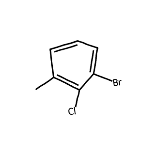 Cc1cccc(Br)c1Cl